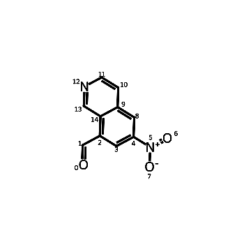 O=Cc1cc([N+](=O)[O-])cc2ccncc12